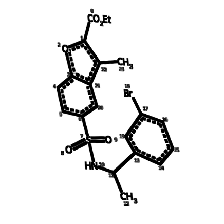 CCOC(=O)c1oc2ccc(S(=O)(=O)NC(C)c3cccc(Br)c3)cc2c1C